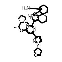 C[C@H](Oc1cc(-c2ccn([C@H]3CCOC3)n2)nc(-c2noc3c2CCC[C@@]32CCCc3sc(N)c(C#N)c32)n1)[C@@H]1CCCN1C